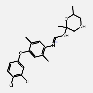 Cc1cc(Oc2ccc(Cl)c(Cl)c2)c(C)cc1/N=C/NC1(C)CNCC(C)O1